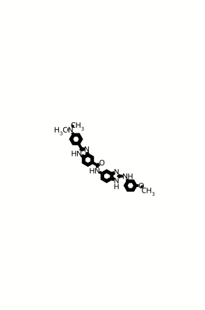 COc1cccc(Nc2nc3cc(NC(=O)c4ccc5[nH]c(-c6ccc(N(C)C)cc6)nc5c4)ccc3[nH]2)c1